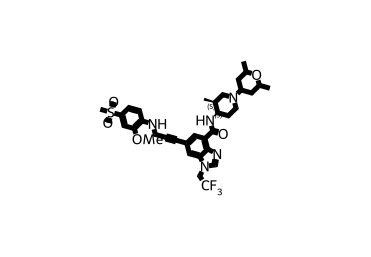 COc1cc(S(C)(=O)=O)ccc1NCC#Cc1cc(C(=O)N[C@H]2CCN(C3CC(C)OC(C)C3)C[C@@H]2C)c2ncn(CC(F)(F)F)c2c1